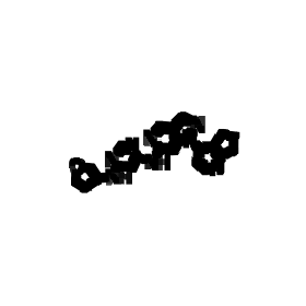 c1nc(Nc2cc3c(cn2)cnn3-c2ccnc3c2CCC3)cc(NC2CCOC2)n1